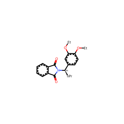 CCC[C@H](c1ccc(OCC)c(OCC)c1)N1C(=O)c2ccccc2C1=O